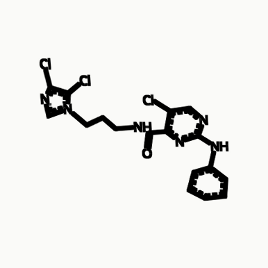 O=C(NCCCn1cnc(Cl)c1Cl)c1nc(Nc2ccccc2)ncc1Cl